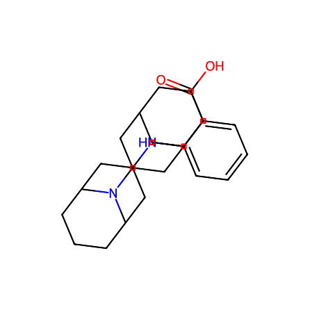 O=C(O)c1ccccc1NC1CC2CCCC(C1)N2C1CC2CCCC(C2)C1